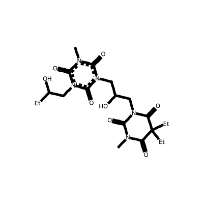 CCC(O)Cn1c(=O)n(C)c(=O)n(CC(O)CN2C(=O)N(C)C(=O)C(CC)(CC)C2=O)c1=O